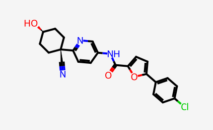 N#C[C@]1(c2ccc(NC(=O)c3ccc(-c4ccc(Cl)cc4)o3)cn2)CC[C@H](O)CC1